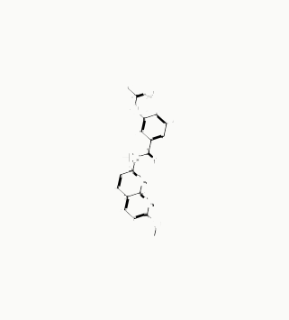 COc1ccc2ccc(NC(=O)c3cccc(OC(C)=O)c3)nc2n1